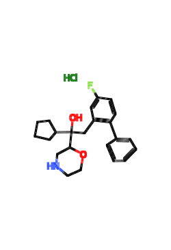 Cl.OC(Cc1cc(F)ccc1-c1ccccc1)(C1CCCC1)C1CNCCO1